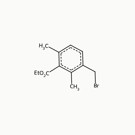 CCOC(=O)c1c(C)ccc(CBr)c1C